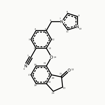 N#Cc1ccc(Cn2ccnc2)cc1Oc1cccc2c1C(=O)CC2